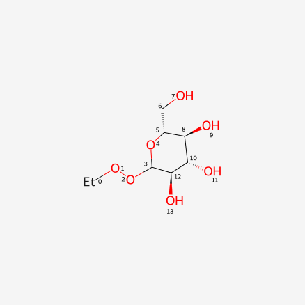 CCOOC1O[C@H](CO)[C@@H](O)[C@H](O)[C@H]1O